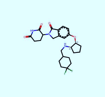 O=C1CCC(N2Cc3cc(O[C@H]4CCC[C@H]4NCC4CCC(F)(F)CC4)ccc3C2=O)C(=O)N1